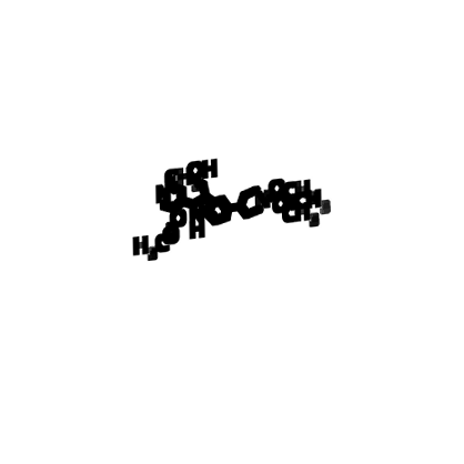 COCOc1cnc(C)cc1-c1[nH]c2ccc(C3CCN(C(=O)OC(C)(C)C)CC3)cc2c1CCO